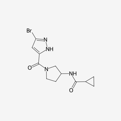 O=C(NC1CCN(C(=O)c2cc(Br)n[nH]2)C1)C1CC1